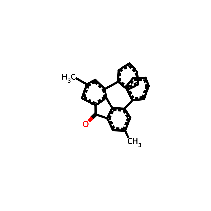 Cc1cc2c(c(-c3ccccc3)c1)-c1c(cc(C)cc1-c1ccccc1)C2=O